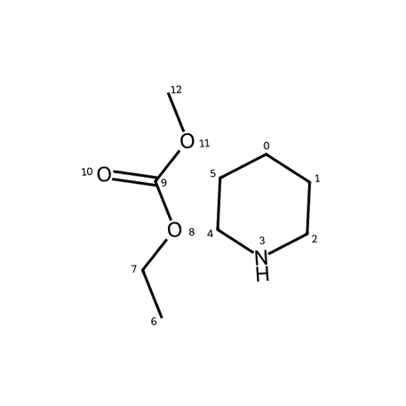 C1CCNCC1.CCOC(=O)OC